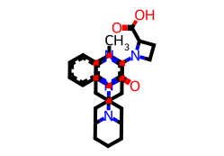 CC1CC2CC(C1)CC(N1C3CCCC1CC(n1c(=O)c(N4CCC4C(=O)O)nc4ccccc41)C3)C2